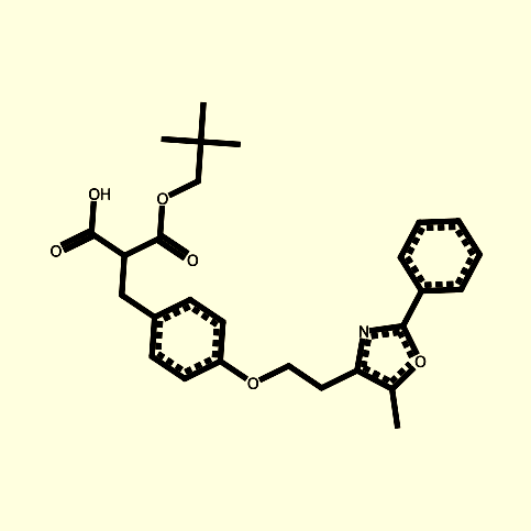 Cc1oc(-c2ccccc2)nc1CCOc1ccc(CC(C(=O)O)C(=O)OCC(C)(C)C)cc1